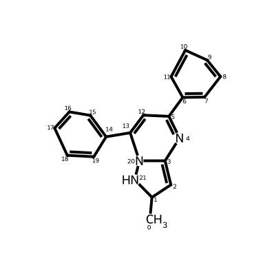 CC1C=C2N=C(c3ccccc3)C=C(c3ccccc3)N2N1